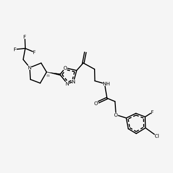 C=C(CCNC(=O)COc1ccc(Cl)c(F)c1)c1nnc([C@H]2CCN(CC(F)(F)F)C2)o1